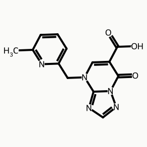 Cc1cccc(Cn2cc(C(=O)O)c(=O)n3ncnc23)n1